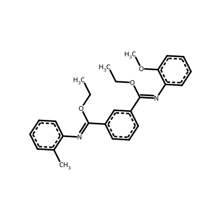 CCO/C(=N\c1ccccc1C)c1cccc(/C(=N/c2ccccc2OC)OCC)c1